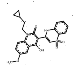 COc1ccc2c(c1)c(O)c(C1=CS(=O)(=O)c3ccccc3N1)c(=O)n2CCC1CC1